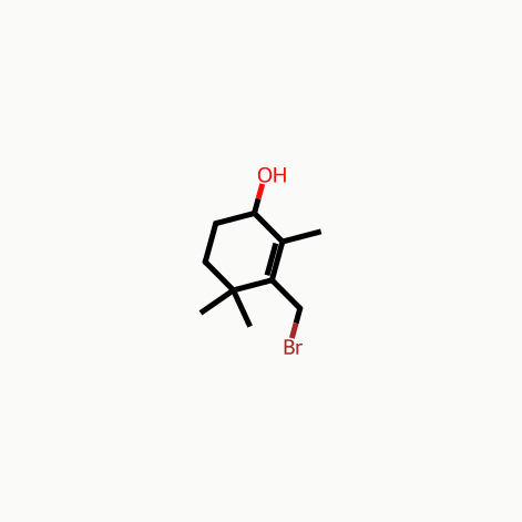 CC1=C(CBr)C(C)(C)CCC1O